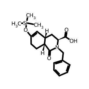 C[Si](C)(C)OC1=C[C@@H]2C[C@@H](C(=O)O)N(Cc3ccccc3)C(=O)[C@@H]2CC1